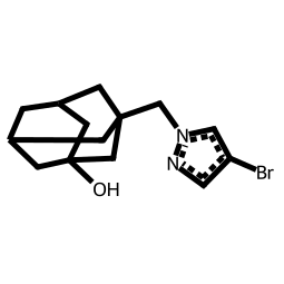 OC12CC3CC(C1)CC(Cn1cc(Br)cn1)(C3)C2